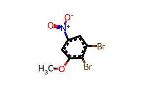 COc1cc([N+](=O)[O-])cc(Br)c1Br